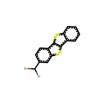 BrC(Br)c1ccc2c(c1)sc1c3ccccc3sc21